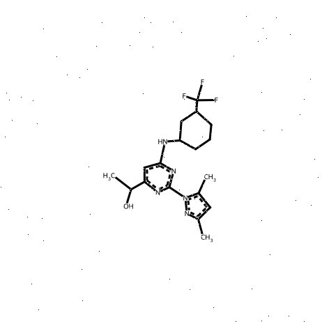 Cc1cc(C)n(-c2nc(NC3CCCC(C(F)(F)F)C3)cc(C(C)O)n2)n1